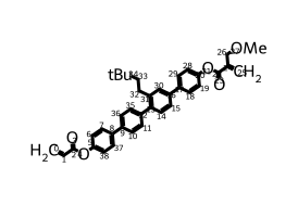 C=CC(=O)Oc1ccc(-c2ccc(-c3ccc(-c4ccc(OC(=O)C(=C)COC)cc4)cc3CCC(C)(C)C)cc2)cc1